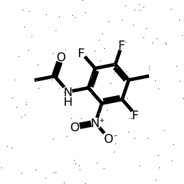 CC(=O)Nc1c(F)c(F)c(C)c(F)c1[N+](=O)[O-]